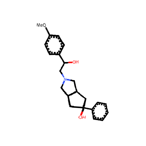 COc1ccc(C(O)CN2CC3CC(O)(c4ccccc4)CC3C2)cc1